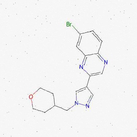 Brc1ccc2ncc(-c3cnn(CC4CCOCC4)c3)nc2c1